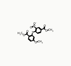 COC(=O)c1ccc(Sc2cc(OC)ccc2C(=O)OC)c([N+](=O)[O-])c1